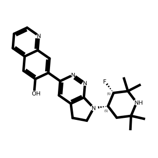 CC1(C)C[C@H](N2CCc3cc(-c4cc5ncccc5cc4O)nnc32)[C@H](F)C(C)(C)N1